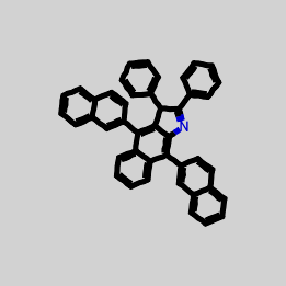 c1ccc(C2=Nc3c(c(-c4ccc5ccccc5c4)c4ccccc4c3-c3ccc4ccccc4c3)C2c2ccccc2)cc1